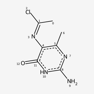 C/C(Cl)=N\c1c(C)nc(N)[nH]c1=O